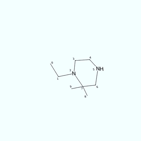 CCN1CCNCC1(C)C